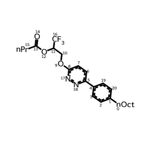 CCCCCCCCc1ccc(-c2ccc(OCC(OC(=O)CCC)C(F)(F)F)nn2)cc1